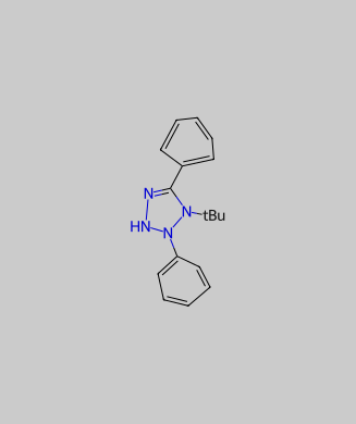 CC(C)(C)N1C(c2ccccc2)=NNN1c1ccccc1